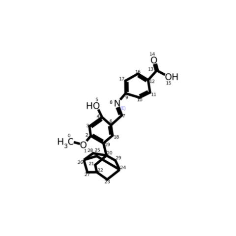 COc1cc(O)c(/C=N/c2ccc(C(=O)O)cc2)cc1C12CC3CC(CC(C3)C1)C2